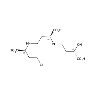 O=C(O)[C@H](CCO)NCC[C@H](NCC[C@H](O)C(=O)O)C(=O)O